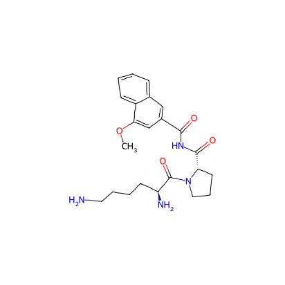 COc1cc(C(=O)NC(=O)[C@@H]2CCCN2C(=O)[C@@H](N)CCCCN)cc2ccccc12